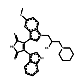 COc1ccc2c(c1)c(C1=C(c3c[nH]c4ccccc34)C(=O)NC1=O)cn2CC(O)CN1CCCCC1